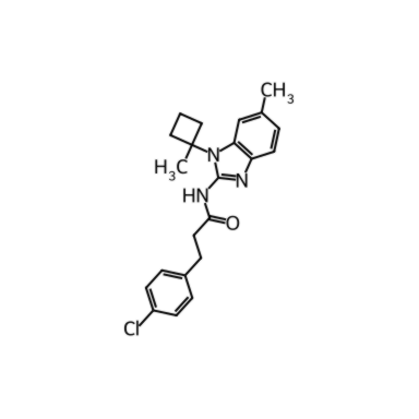 Cc1ccc2nc(NC(=O)CCc3ccc(Cl)cc3)n(C3(C)CCC3)c2c1